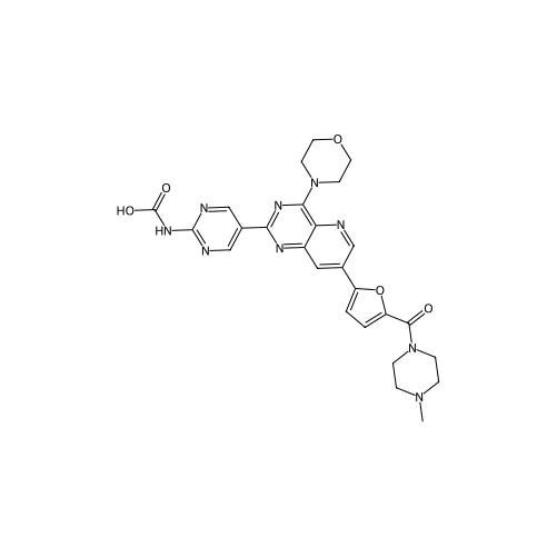 CN1CCN(C(=O)c2ccc(-c3cnc4c(N5CCOCC5)nc(-c5cnc(NC(=O)O)nc5)nc4c3)o2)CC1